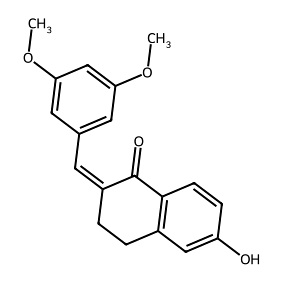 COc1cc(C=C2CCc3cc(O)ccc3C2=O)cc(OC)c1